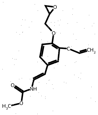 C=CCc1cc(C=CNC(=O)OC)ccc1OCC1CO1